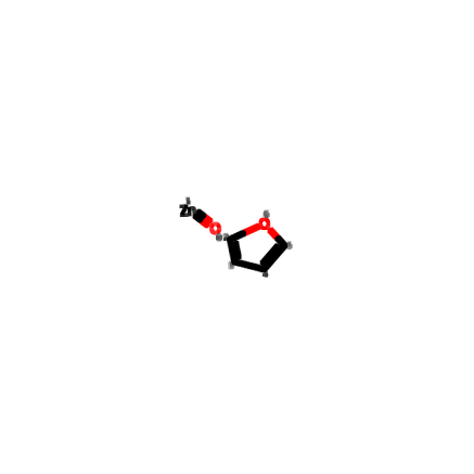 [O]=[Zn].[c]1ccco1